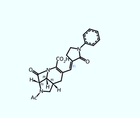 CC(=O)N1C[C@H]2CC(/C=C3\CCN(c4ccccc4)C3=O)=C(C(=O)O)N3C(=O)[C@@H]1[C@@H]23